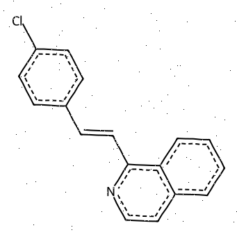 Clc1ccc(C=Cc2nccc3ccccc23)cc1